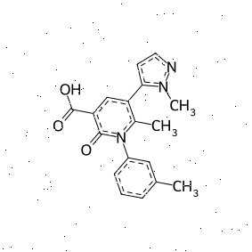 Cc1cccc(-n2c(C)c(-c3ccnn3C)cc(C(=O)O)c2=O)c1